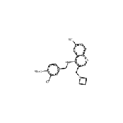 COc1ccc(CNc2c(CN3CCC3)cnc3ccc(C#N)cc23)cc1Cl